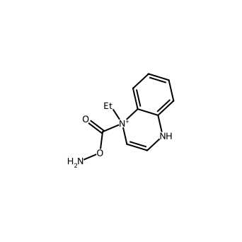 CC[N+]1(C(=O)ON)C=CNc2ccccc21